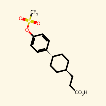 O=C(O)CC[C@H]1CC[C@H](c2ccc(OS(=O)(=O)C(F)(F)F)cc2)CC1